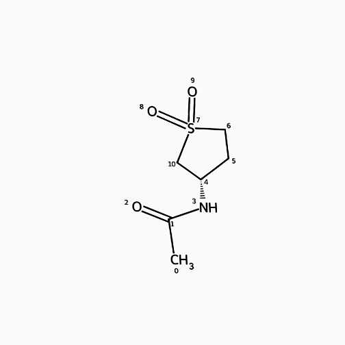 CC(=O)N[C@H]1CCS(=O)(=O)C1